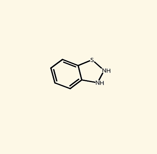 c1ccc2c(c1)NNS2